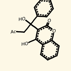 CC(=O)CC(O)(c1ccccc1)c1c(O)c2ccccc2oc1=O